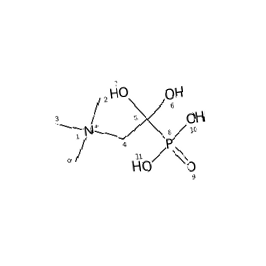 C[N+](C)(C)CC(O)(O)P(=O)(O)O